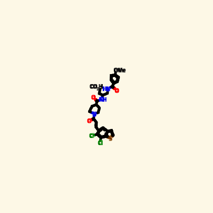 COc1ccc(C(=O)NCC(CC(=O)O)NC(=O)C2CCN(C(=O)C=Cc3cc4ccsc4c(Cl)c3Cl)CC2)cc1